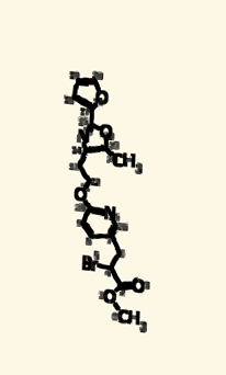 COC(=O)C(Br)Cc1ccc(OCCc2nc(-c3ccco3)oc2C)nc1